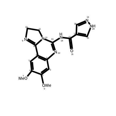 COc1cc2c(cc1OC)C1=NCCN1C(NC(=O)c1cn[nH]c1)=N2